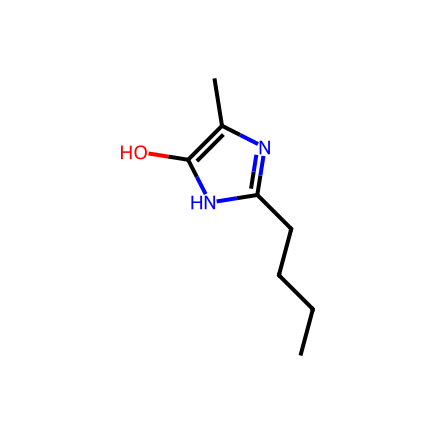 CCCCc1nc(C)c(O)[nH]1